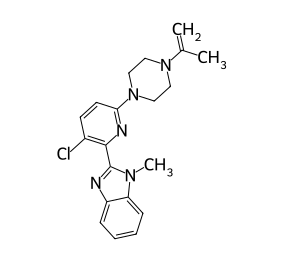 C=C(C)N1CCN(c2ccc(Cl)c(-c3nc4ccccc4n3C)n2)CC1